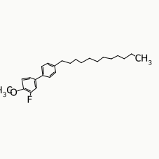 CCCCCCCCCCCCc1ccc(-c2ccc(OC)c(F)c2)cc1